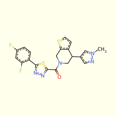 Cn1cc(C2CN(C(=O)c3nnc(-c4ccc(F)cc4F)s3)Cc3sccc32)cn1